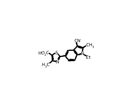 CCn1c(C)c(C#N)c2cc(-c3nc(C)c(C(=O)O)s3)ccc21